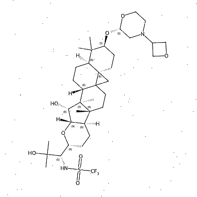 CC(C)(O)[C@@H](NS(=O)(=O)C(F)(F)F)[C@H]1CC[C@H]2[C@H](O1)[C@H](O)[C@@]1(C)[C@@H]3CC[C@H]4C(C)(C)[C@@H](O[C@H]5CN(C6COC6)CCO5)CC[C@@]45CC35CC[C@]21C